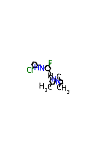 Cc1cc(CCc2cc(F)cc(NCc3cccc(Cl)c3)c2)nc(-n2c(C)ccc2C)c1